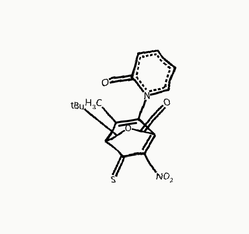 CC1=C(n2ccccc2=O)C2=C([N+](=O)[O-])C(=S)C1C(C(C)(C)C)OC2=O